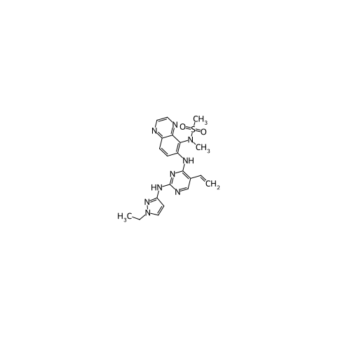 C=Cc1cnc(Nc2ccn(CC)n2)nc1Nc1ccc2nccnc2c1N(C)S(C)(=O)=O